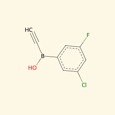 C#CB(O)c1cc(F)cc(Cl)c1